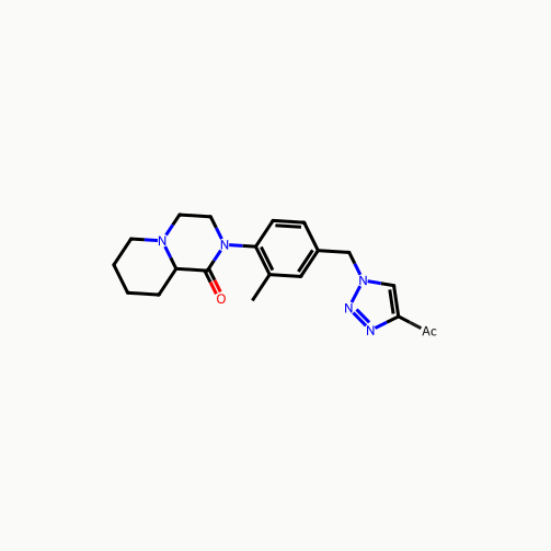 CC(=O)c1cn(Cc2ccc(N3CCN4CCCCC4C3=O)c(C)c2)nn1